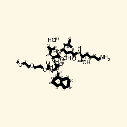 COCCOCCOC(=O)N[C@@H](Cc1cccc2ccccc12)C(=O)N[C@@H](CC(C)C)C(=O)N[C@@H](CC(C)C)[C@@H](O)CC(=O)N[C@H](CO)CCCCN.Cl